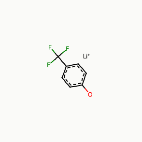 [Li+].[O-]c1ccc(C(F)(F)F)cc1